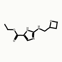 CCOC(=O)c1cnc(NCC2CCO2)[nH]1